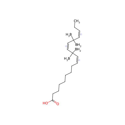 BC(B)(/C=C\CC)/C=C\C(B)(B)/C=C\CCCCCCCC(=O)O